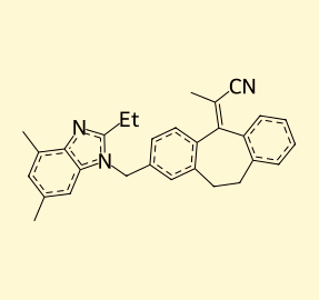 CCc1nc2c(C)cc(C)cc2n1Cc1ccc2c(c1)CCc1ccccc1C2=C(C)C#N